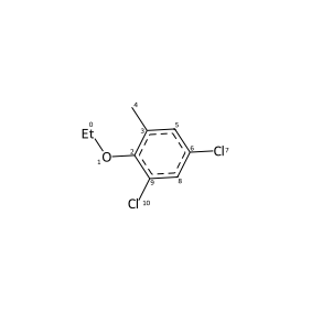 [CH2]COc1c(C)cc(Cl)cc1Cl